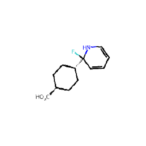 O=C(O)[C@H]1CC[C@H](C2(F)C=CC=CN2)CC1